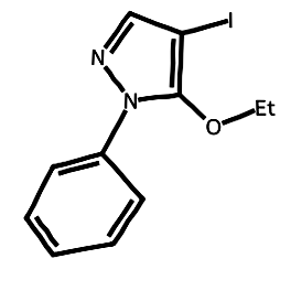 CCOc1c(I)cnn1-c1ccccc1